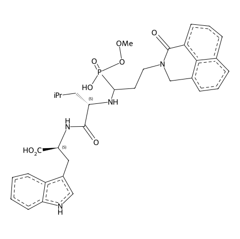 COOP(=O)(O)C(CCN1Cc2cccc3cccc(c23)C1=O)N[C@@H](CC(C)C)C(=O)N[C@@H](Cc1c[nH]c2ccccc12)C(=O)O